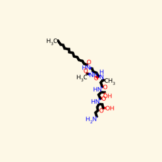 CCCCCCCCCCCCCC(=O)NCC(CC(=O)NC(C)CC(=O)NC(CO)CC(=O)NC(CCCCN)CC(=O)O)NC(C)=O